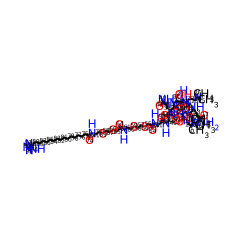 C[C@H](CNC(=O)[C@H](CO)NC(=O)[C@H](CCC(N)=O)NC(=O)[C@H](CCN(C)C)NC(=O)[C@H](CO)NC(=O)[C@H](CCC(N)=O)NC(=O)[C@@H](CO)NC(=O)CNC(=O)COCCOCCNC(=O)COCCOCCNC(=O)CCCCCCCCCCCCCCCc1nnn[nH]1)N(C)C